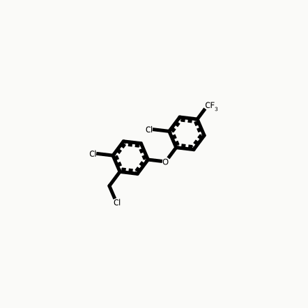 FC(F)(F)c1ccc(Oc2ccc(Cl)c(CCl)c2)c(Cl)c1